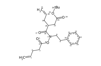 C=CCCC(=O)ON(CCc1ccccc1)C(=O)C(CC=C)CC(=O)OC(C)(C)C